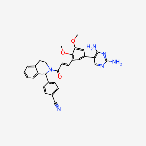 COc1cc(-c2cnc(N)nc2N)cc(/C=C/C(=O)N2CCc3ccccc3C2c2ccc(C#N)cc2)c1OC